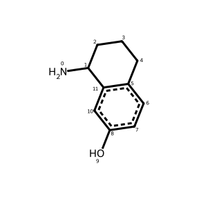 NC1CCCc2ccc(O)cc21